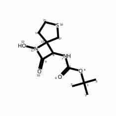 CC(C)(C)OC(=O)NC1C(=O)N(O)C12CCSC2